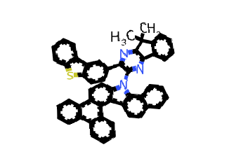 CC1(C)c2ccccc2-c2nc(-n3c4ccc5c6ccccc6c6ccccc6c5c4c4ccc5ccccc5c43)c(-c3ccc4sc5ccccc5c4c3)nc21